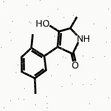 Cc1ccc(C)c(C2=C(O)C(C)NC2=O)c1